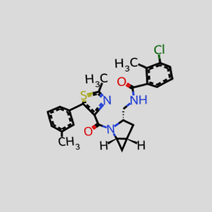 Cc1cccc(-c2sc(C)nc2C(=O)N2[C@H](CNC(=O)c3cccc(Cl)c3C)C[C@@H]3C[C@@H]32)c1